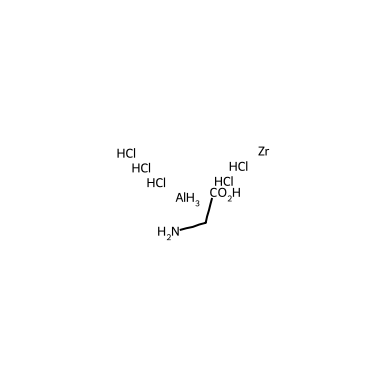 Cl.Cl.Cl.Cl.Cl.NCC(=O)O.[AlH3].[Zr]